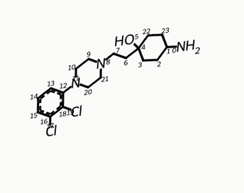 NC1CCC(O)(CCN2CCN(c3cccc(Cl)c3Cl)CC2)CC1